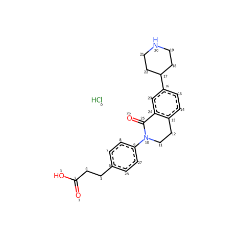 Cl.O=C(O)CCc1ccc(N2CCc3ccc(C4CCNCC4)cc3C2=O)cc1